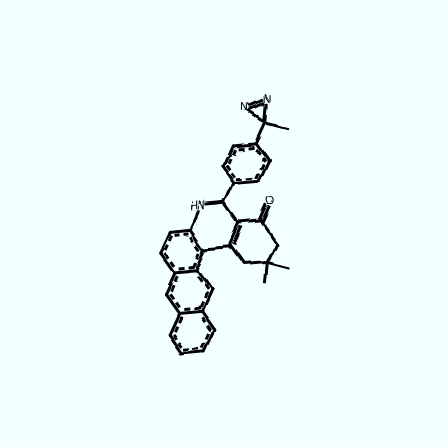 CC1(C)CC(=O)C2=C(C1)c1c(ccc3cc4ccccc4cc13)NC2c1ccc(C2(C)N=N2)cc1